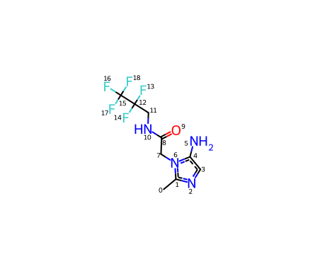 Cc1ncc(N)n1CC(=O)NCC(F)(F)C(F)(F)F